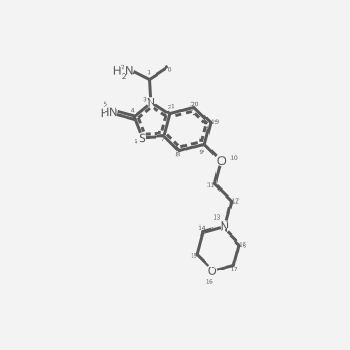 CC(N)n1c(=N)sc2cc(OCCN3CCOCC3)ccc21